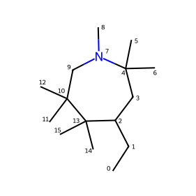 CCC1CC(C)(C)N(C)CC(C)(C)C1(C)C